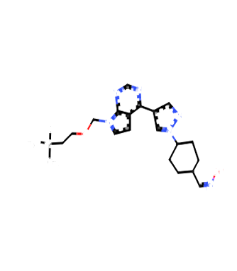 C[Si](C)(C)CCOCn1ccc2c(-c3cnn(C4CCC(/C=N\O)CC4)c3)ncnc21